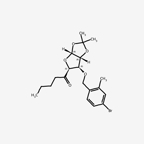 CCCCC(=O)[C@H]1O[C@@H]2OC(C)(C)O[C@@H]2[C@H]1OCc1ccc(Br)cc1C